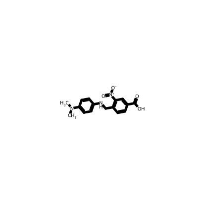 CN(C)c1ccc(NCc2ccc(C(=O)O)cc2[N+](=O)[O-])cc1